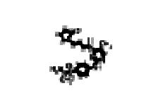 Cc1cnc(Nc2ccc(S(=O)(=O)N(C)C)cc2)nc1NCCCN1CCCC1=O